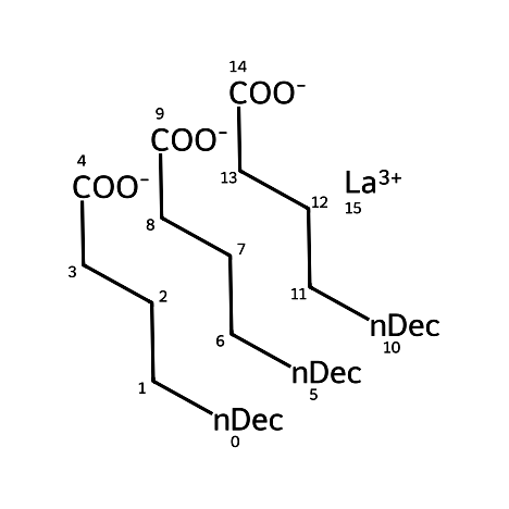 CCCCCCCCCCCCCC(=O)[O-].CCCCCCCCCCCCCC(=O)[O-].CCCCCCCCCCCCCC(=O)[O-].[La+3]